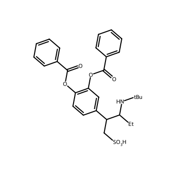 CCC(NC(C)(C)C)C(CS(=O)(=O)O)c1ccc(OC(=O)c2ccccc2)c(OC(=O)c2ccccc2)c1